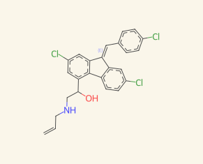 C=CCNCC(O)c1cc(Cl)cc2c1-c1ccc(Cl)cc1/C2=C\c1ccc(Cl)cc1